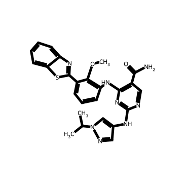 COc1c(Nc2nc(Nc3cnn(C(C)C)c3)ncc2C(N)=O)cccc1-c1nc2ccccc2s1